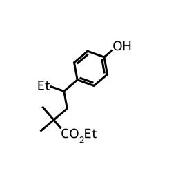 CCOC(=O)C(C)(C)CC(CC)c1ccc(O)cc1